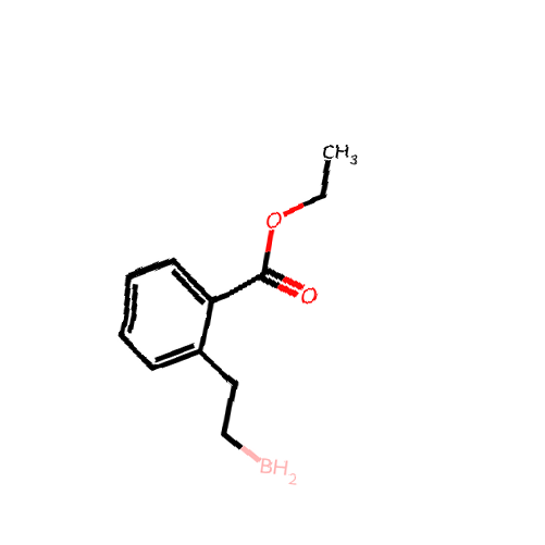 BCCc1ccccc1C(=O)OCC